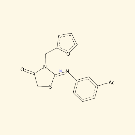 CC(=O)c1cccc(/N=C2\SCC(=O)N2Cc2ccco2)c1